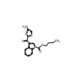 CCCCOC(=O)n1cc(C(=O)c2nc(N)cs2)c2ccccc21